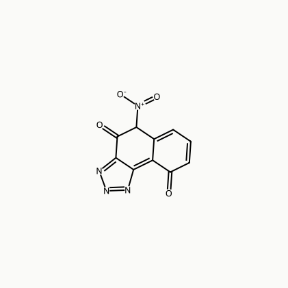 O=C1C=CC=C2C1=C1N=NN=C1C(=O)C2[N+](=O)[O-]